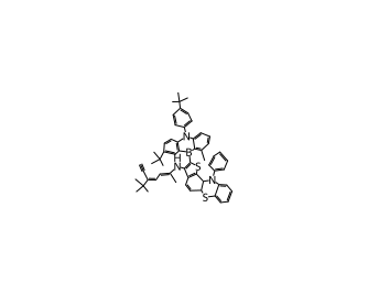 C#C/C(=C\C=C(/C)Nc1c(B2c3cc(C(C)(C)C)ccc3N(c3ccc(C(C)(C)C)cc3)c3cccc(C)c32)sc2c1C=CC1Sc3ccccc3N(c3ccccc3)C21)C(C)(C)C